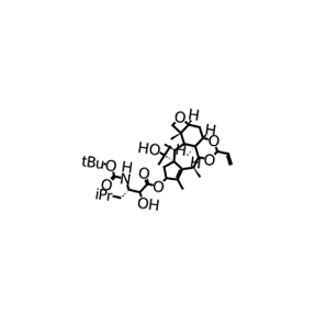 C=CC1O[C@H]2C[C@H]3OC[C@@]3(C)[C@H]3[C@H](C)[C@]4(C(C)(C)O)CC(OC(=O)C(O)[C@H](CC(C)C)NC(=O)OC(C)(C)C)C(C)=C4[C@H](C)[C@H](O1)[C@]23C